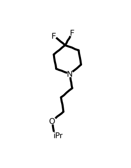 CC(C)OCCCN1CCC(F)(F)CC1